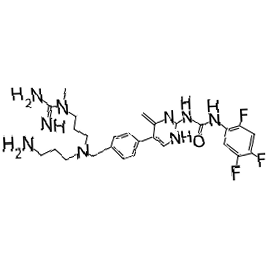 C=C1N=C(NC(=O)Nc2cc(F)c(F)cc2F)NC=C1c1ccc(CN(CCCN)CCCN(C)C(=N)N)cc1